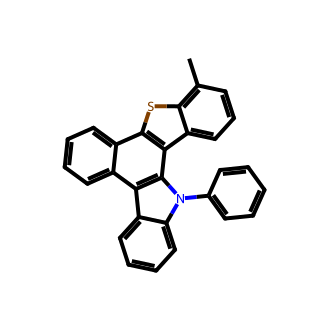 Cc1cccc2c1sc1c3ccccc3c3c4ccccc4n(-c4ccccc4)c3c21